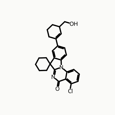 O=c1nc2n(c3cccc(Cl)c13)-c1ccc(C3=CC(CO)CCC3)cc1C21CCCCC1